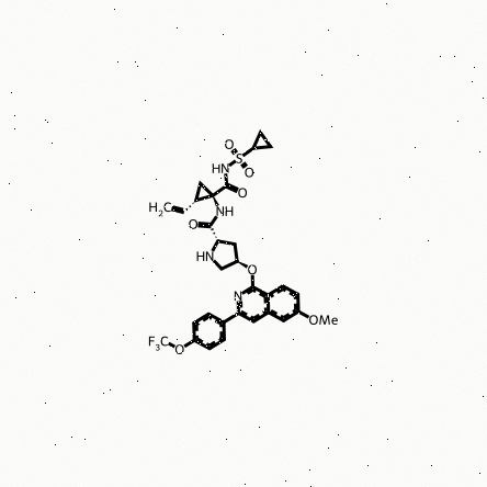 C=C[C@@H]1C[C@]1(NC(=O)[C@@H]1C[C@@H](Oc2nc(-c3ccc(OC(F)(F)F)cc3)cc3cc(OC)ccc23)CN1)C(=O)NS(=O)(=O)C1CC1